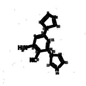 N#Cc1c(N)cc(-n2ccnc2)nc1-n1ccnc1